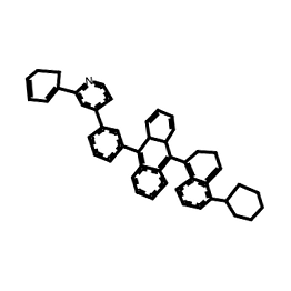 C1=CCCC(c2cc(-c3cccc(C4=c5ccccc5=C(C5=c6cccc(C7CCCCC7)c6=CCC5)C5C=CC=CC45)c3)ccn2)=C1